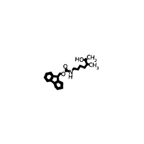 C=C(O)C(C)CCCCNC(=O)OCC1c2ccccc2-c2ccccc21